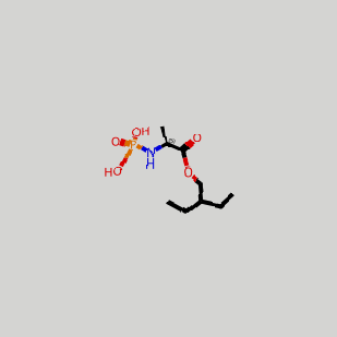 CCC(CC)COC(=O)[C@H](C)NP(=O)(O)O